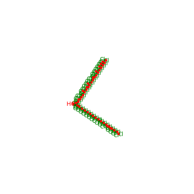 ClC(Cl)Cl.ClC(Cl)Cl.ClC(Cl)Cl.ClC(Cl)Cl.ClC(Cl)Cl.ClC(Cl)Cl.ClC(Cl)Cl.ClC(Cl)Cl.ClC(Cl)Cl.ClC(Cl)Cl.ClC(Cl)Cl.ClC(Cl)Cl.ClC(Cl)Cl.ClC(Cl)Cl.ClC(Cl)Cl.ClC(Cl)Cl.ClC(Cl)Cl.ClC(Cl)Cl.ClC(Cl)Cl.ClC(Cl)Cl.ClC(Cl)Cl.ClC(Cl)Cl.ClC(Cl)Cl.ClC(Cl)Cl.ClC(Cl)Cl.ClC(Cl)Cl.ClC(Cl)Cl.ClC(Cl)Cl.ClC(Cl)Cl.ClC(Cl)Cl.ClC(Cl)Cl.ClC(Cl)Cl.ClC(Cl)Cl.ClC(Cl)Cl.OCC(Cl)(Cl)Cl